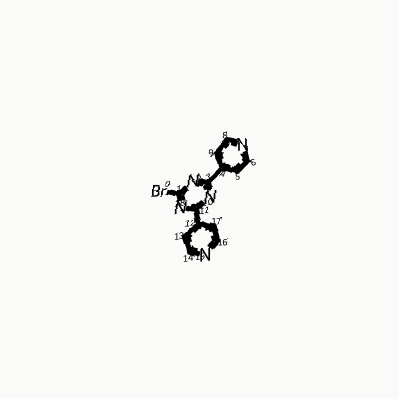 Brc1nc(-c2ccncc2)nc(-c2ccncc2)n1